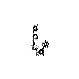 Cc1cc(NC(=O)N[C@H](C)CCN2CCC[C@@H](Cc3ccc(F)cc3)C2)cc(-c2nnnn2C)c1